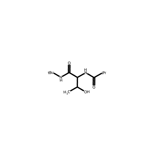 CC(C)C(=O)NC(C(=O)NC(C)(C)C)C(C)O